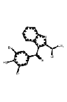 CC(Cl)c1oc2ccccc2c1C(=O)c1cc(Br)c(O)c(Br)c1